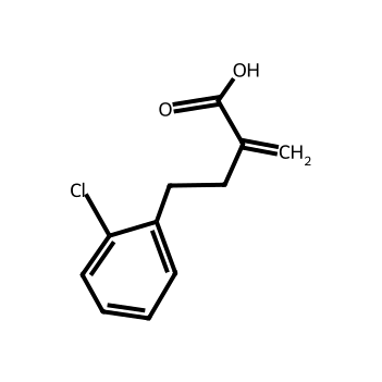 C=C(CCc1ccccc1Cl)C(=O)O